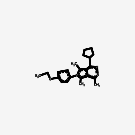 CCOc1ccc(-n2c(C)c3c(C)nnc(C4CCCC4)c3c2C)cc1